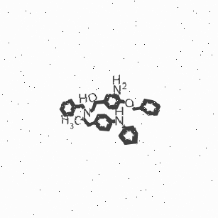 C[C@@H](Cc1ccc(Nc2ccccc2)cc1)N(Cc1ccccc1)C[C@H](O)c1ccc(OCc2ccccc2)c(N)c1